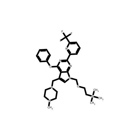 CN1CCN(Cc2cn(COCC[Si](C)(C)C)c3nc(-c4cccc(C(F)(F)I)n4)nc(Oc4ccccc4)c23)CC1